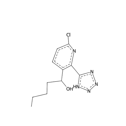 CCCCC(O)c1ccc(Cl)nc1-c1nnn[nH]1